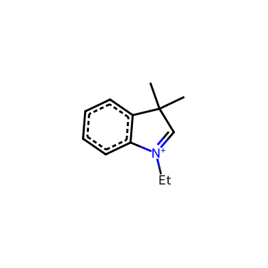 CC[N+]1=CC(C)(C)c2ccccc21